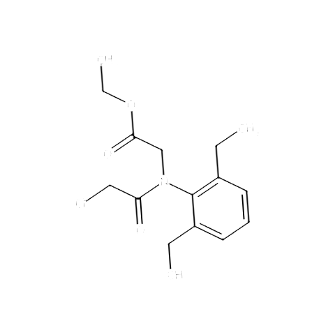 CCOC(=O)CN(C(=O)CCl)c1c(CC)cccc1CC